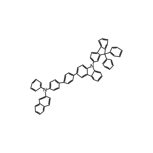 c1ccc(N(c2ccc(-c3ccc(-c4ccc5c(c4)c4ccccc4n5-c4ccc5c(c4)C(c4ccccc4)(c4ccccc4)c4ccccc4-5)cc3)cc2)c2ccc3ccccc3c2)cc1